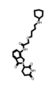 O=C1CCC(N2Cc3c(NC(=O)COCCCCNC4CCCCC4)cccc3C2=O)C(=O)N1